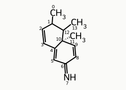 CC1C=CC2=CC(=N)C=C[C@]2(C)C1C